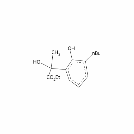 CCCCc1cccc(C(C)(O)C(=O)OCC)c1O